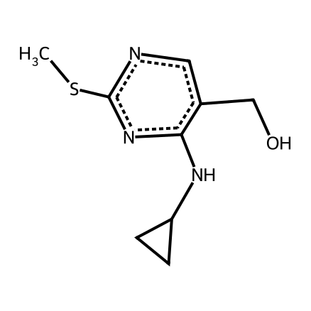 CSc1ncc(CO)c(NC2CC2)n1